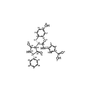 O=C(O)c1csc(NC(=O)[C@@H](Cc2ccc(O)cc2)N2C(=O)N[C@@H](c3ccccc3)C2=O)n1